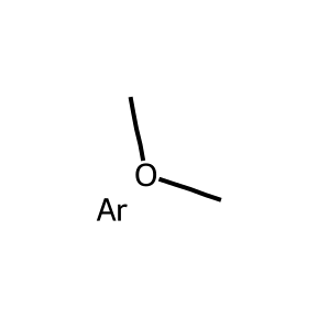 COC.[Ar]